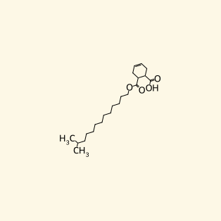 CC(C)CCCCCCCCCCCOC(=O)C1CC=CCC1C(=O)O